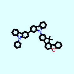 CC1(C)c2cc(-n3c4ccccc4c4ccc(-c5ccc6c(c5)c5ccccc5n6-c5ccccc5)cc43)ccc2-c2ccc3oc4ccccc4c3c21